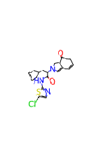 O=C1CC=CC2=CN(C(CC3CCCC3)C(=O)Nc3ncc(Cl)s3)CC12